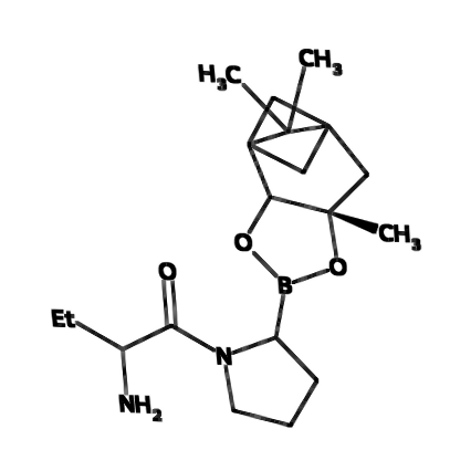 CCC(N)C(=O)N1CCCC1B1OC2C34CC(C3)(C[C@]2(C)O1)C4(C)C